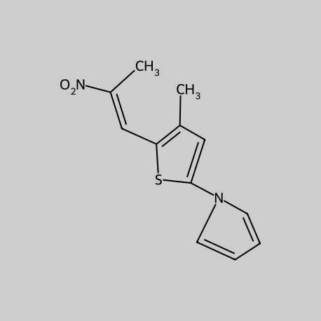 CC(=Cc1sc(-n2cccc2)cc1C)[N+](=O)[O-]